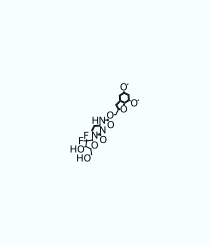 COc1cc(OC)c2oc(COC(=O)Nc3ccn(C4OC(CO)C(O)C4(F)F)c(=O)n3)cc2c1